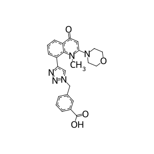 Cn1c(N2CCOCC2)cc(=O)c2cccc(-c3cn(Cc4cccc(C(=O)O)c4)nn3)c21